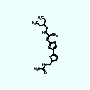 CCC(CC)CN/C(N)=N/c1nc(-c2ccc(CNC(C)=O)s2)cs1